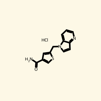 Cl.NC(=O)c1csc(Cn2ccc3ncccc32)c1